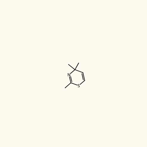 CC1=NC(C)(C)C=CS1